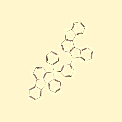 c1ccc([Si](c2ccccc2)(c2ccnc(-n3c4ccccc4c4c5c(ccc43)sc3ccccc35)c2)c2cccc3c2sc2ccccc23)cc1